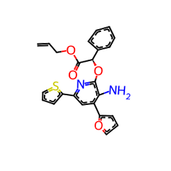 C=CCOC(=O)[C@H](Oc1nc(-c2cccs2)cc(-c2ccco2)c1N)c1ccccc1